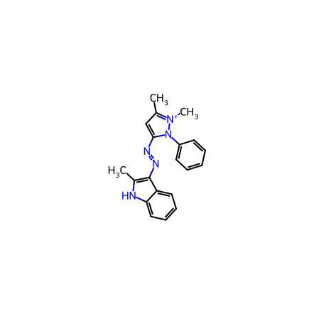 Cc1[nH]c2ccccc2c1/N=N/c1cc(C)[n+](C)n1-c1ccccc1